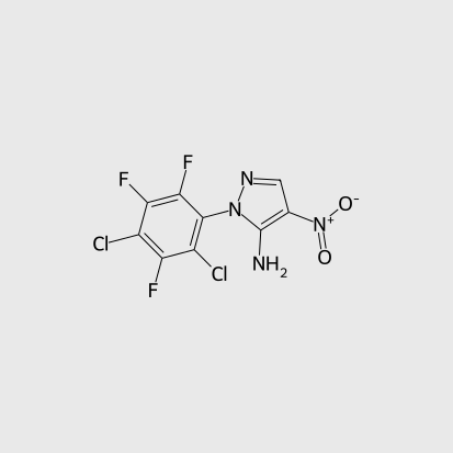 Nc1c([N+](=O)[O-])cnn1-c1c(F)c(F)c(Cl)c(F)c1Cl